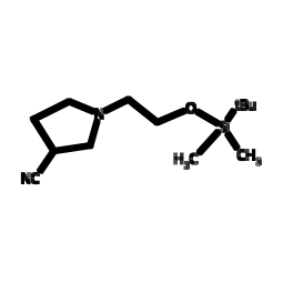 CC(C)(C)[Si](C)(C)OCCN1CCC(C#N)C1